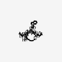 CC(C)(C)OC(=O)N[C@H]1COCCC/C=C\[C@@H]2C[C@@]2(C(=O)NS(=O)(=O)C2CC2)NC(=O)[C@@H]2C[C@@H](OC(=O)N3CCc4ccccc43)CN2C1=O